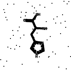 [NH]C(Cc1c[nH]cn1)C(=O)O